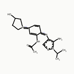 CC(=O)NC1=CC(=[N+]2\CCC(O)C2)/C=CC/1=N/c1cnn(C(C)C)c1N